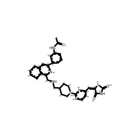 CC(=O)Nc1cccc(-c2cc3ccccc3c(CNCC3CCN(c4nccc(C=C5SC(=O)NC5=O)n4)CC3)n2)c1